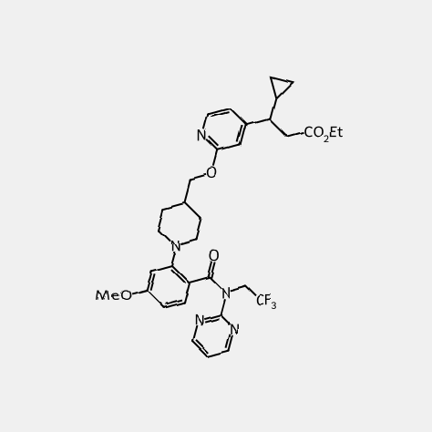 CCOC(=O)CC(c1ccnc(OCC2CCN(c3cc(OC)ccc3C(=O)N(CC(F)(F)F)c3ncccn3)CC2)c1)C1CC1